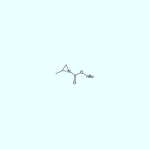 CCCCOC(=O)N1CC1C